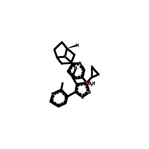 Cc1ncccc1-c1noc(C2CC2)c1COC1CC2CC[C@@H](C1)N2c1ccc(C(=O)O)cn1